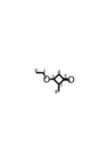 CCOC1CC(=O)C1C